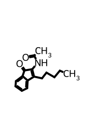 CCCCCC1=C(NC(C)=O)C(=O)c2ccccc21